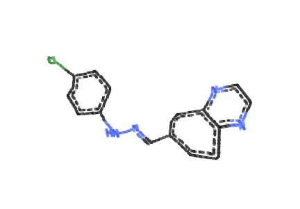 Clc1ccc(NN=Cc2ccc3nccnc3c2)cc1